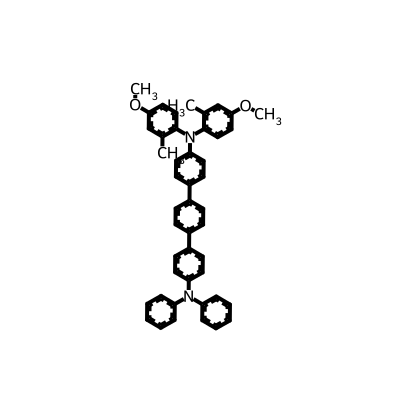 COc1ccc(N(c2ccc(-c3ccc(-c4ccc(N(c5ccccc5)c5ccccc5)cc4)cc3)cc2)c2ccc(OC)cc2C)c(C)c1